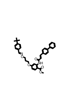 COC(=O)c1ccc(OCCCON=Cc2ccc(C(C)(C)C)cc2)cc1NC(=O)C=Cc1ccc(-c2ccccc2)cc1